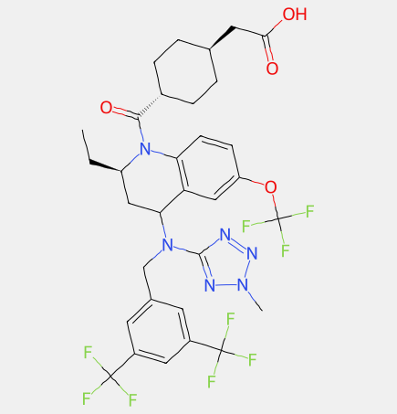 CC[C@@H]1CC(N(Cc2cc(C(F)(F)F)cc(C(F)(F)F)c2)c2nnn(C)n2)c2cc(OC(F)(F)F)ccc2N1C(=O)[C@H]1CC[C@H](CC(=O)O)CC1